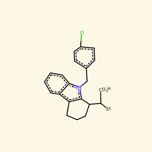 CCC(C(=O)O)C1CCCc2c1n(Cc1ccc(Cl)cc1)c1ccccc21